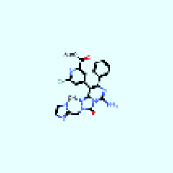 COC(=O)c1cc(-c2c(-c3ccccc3)nc(N)n3c(=O)n(Cc4nccn4C)nc23)cc(Cl)n1